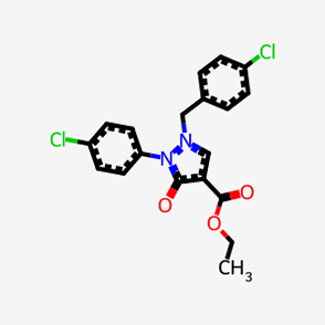 CCOC(=O)c1cn(Cc2ccc(Cl)cc2)n(-c2ccc(Cl)cc2)c1=O